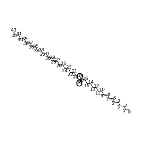 CCCCC=CC=CC=CCCCCCCCC(=O)OCCCCCCCCCCCCCCCCCCCCCCCC